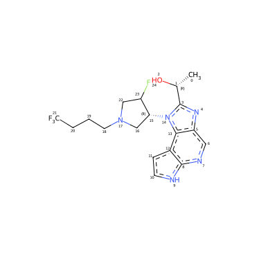 C[C@@H](O)c1nc2cnc3[nH]ccc3c2n1[C@@H]1CN(CCCC(F)(F)F)CC1F